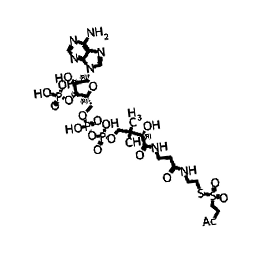 CC(=O)CCS(=O)(=O)SCCNC(=O)CCNC(=O)[C@H](O)C(C)(C)COP(=O)(O)OP(=O)(O)OC[C@H]1O[C@@H](n2cnc3c(N)ncnc32)[C@H](O)[C@@H]1OP(=O)(O)O